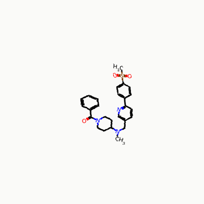 CN(Cc1ccc(-c2ccc(S(C)(=O)=O)cc2)nc1)C1CCN(C(=O)c2ccccc2)CC1